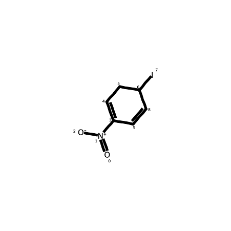 O=[N+]([O-])C1=CC[C](I)C=C1